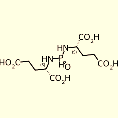 O=C(O)CC[C@H](N[PH](=O)N[C@@H](CCC(=O)O)C(=O)O)C(=O)O